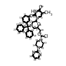 Cc1cn(C2CN(C(c3ccccc3)(c3ccccc3)c3ccccc3)CC(COP(Cl)N3CCN(c4ncccn4)CC3)O2)c(=O)[nH]c1=O